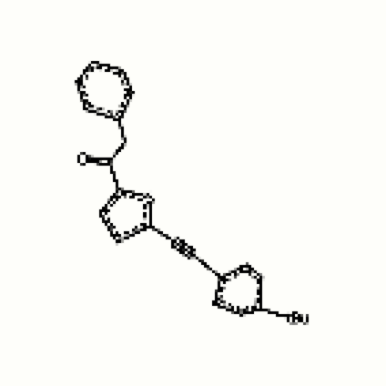 CC(C)(C)c1ccc(C#Cc2ccc(C(=O)Cc3ccccc3)s2)cc1